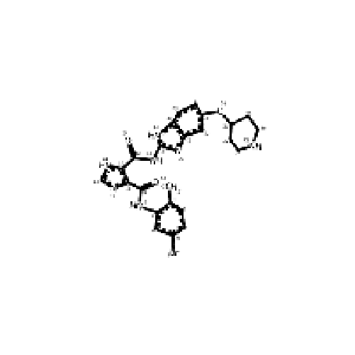 Cc1ccc(Br)cc1NC(=O)c1nc[nH]c1C(=O)Nc1nc2cc(OC3CCNCC3)ccc2[nH]1